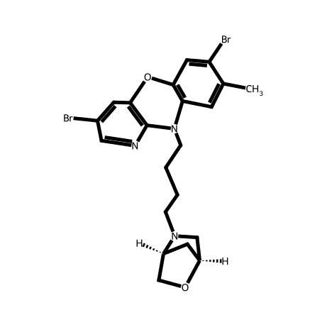 Cc1cc2c(cc1Br)Oc1cc(Br)cnc1N2CCCCN1C[C@@H]2C[C@H]1CO2